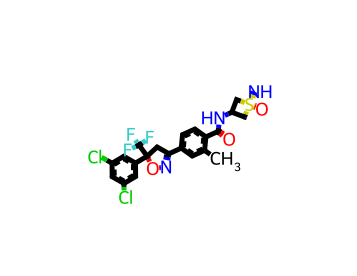 Cc1cc(C2=NOC(c3cc(Cl)cc(Cl)c3)(C(F)(F)F)C2)ccc1C(=O)NC1CS(=N)(=O)C1